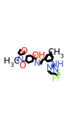 Cc1cc(Nc2nccc(C(F)(F)F)n2)cc(-c2cnc([C@]3(O)CC[C@@H](C(=O)N(C)C4CCOC4)CC3)s2)c1